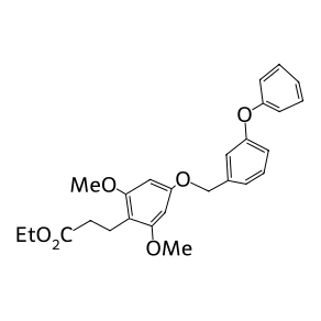 CCOC(=O)CCc1c(OC)cc(OCc2cccc(Oc3ccccc3)c2)cc1OC